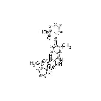 Cc1nc(-c2nnn(C)c2NC(=O)O[C@H](C)c2ccccc2)ccc1C#C[C@@H]1CCCC[C@H]1C(=O)O